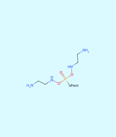 CCCCCP(=O)(ONCCN)ONCCN